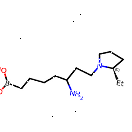 CC[C@@H]1CCCN1CCC(N)CCCCB(O)O